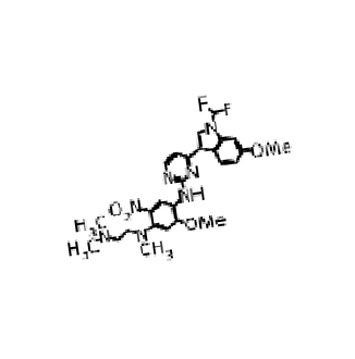 COc1ccc2c(-c3ccnc(Nc4cc([N+](=O)[O-])c(N(C)CCN(C)C)cc4OC)n3)cn(C(F)F)c2c1